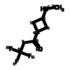 CNC1CN(C(=O)CC(F)(F)F)C1